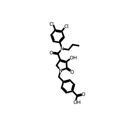 CCCN(C(=O)C1=C(O)C(=O)N(Cc2ccc(C(=O)O)cc2)C1)c1ccc(Cl)c(Cl)c1